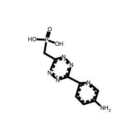 Nc1ccc(-c2nnc(CP(=O)(O)O)nn2)nc1